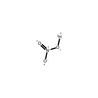 [2H]O[N+](=O)[O-]